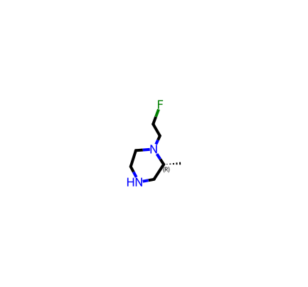 C[C@@H]1CNCCN1CCF